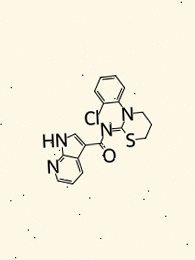 O=C(/N=C1\SCCCN1c1ccccc1Cl)c1c[nH]c2ncccc12